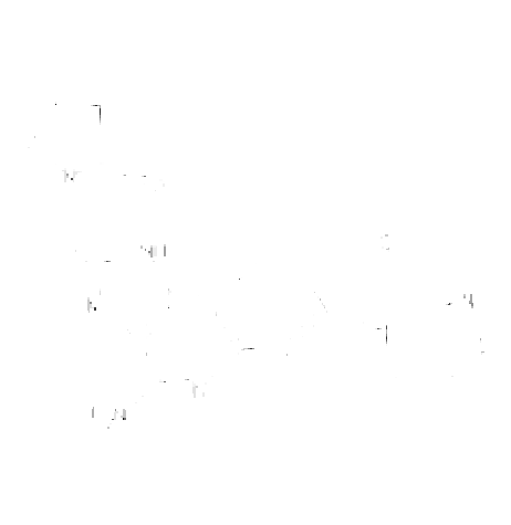 Nc1nc2cc(-c3cccnc3Cl)ccc2c2[nH]c(CN3CCCC3=O)nc12